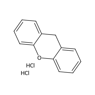 Cl.Cl.c1ccc2c(c1)Cc1ccccc1O2